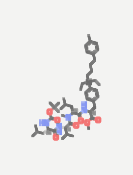 CC[Si](CC)(CCCCc1ccc(C)cc1)c1ccc(C[C@H](NC(=O)[C@H](CC(C)C)N(C)C(=O)[C@@H](NC(=O)[C@H](CC(C)C)NC(=O)OC(C)(C)C)C(C)C)C(=O)OC)cc1